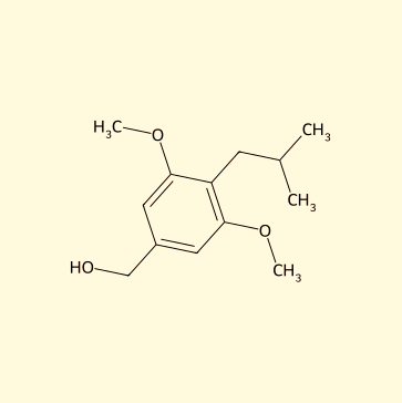 COc1cc(CO)cc(OC)c1CC(C)C